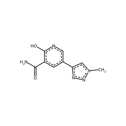 Cn1cc(-c2cnc(O)c(C(N)=O)c2)nn1